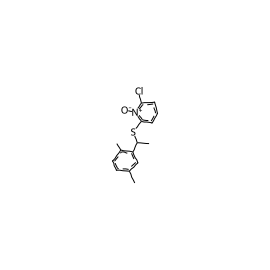 Cc1ccc(C)c(C(C)Sc2cccc(Cl)[n+]2[O-])c1